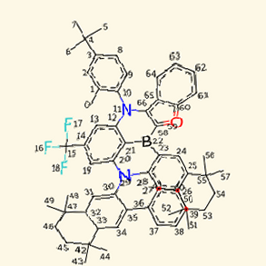 Cc1cc(C(C)(C)C)ccc1N1c2cc(C(F)(F)F)cc3c2B(c2cc4c(cc2N3C2=CC3C(C=C2c2ccccc2)C(C)(C)CCC3(C)C)C(C)(C)CCC4(C)C)c2oc3ccccc3c21